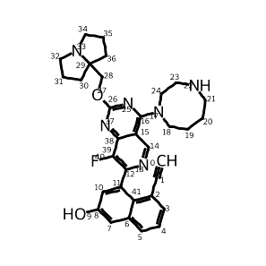 C#Cc1cccc2cc(O)cc(-c3ncc4c(N5CCCCNCC5)nc(OCC56CCCN5CCC6)nc4c3F)c12